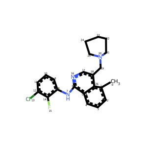 Cc1cccc2c(Nc3cccc(Cl)c3F)ncc(CN3CCCCC3)c12